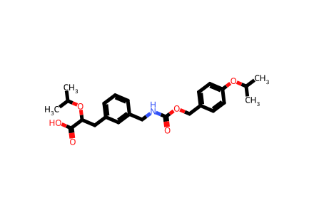 CC(C)Oc1ccc(COC(=O)NCc2cccc(CC(OC(C)C)C(=O)O)c2)cc1